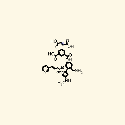 CNc1cc(-c2ccccc2CN)n(S(=O)(=O)CC=Cc2cccnc2)c1.O=C(O)/C=C/C(=O)O.O=C(O)c1cccc(C(=O)O)c1